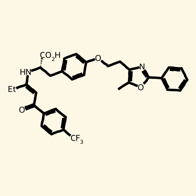 CC/C(=C\C(=O)c1ccc(C(F)(F)F)cc1)N[C@@H](Cc1ccc(OCCc2nc(-c3ccccc3)oc2C)cc1)C(=O)O